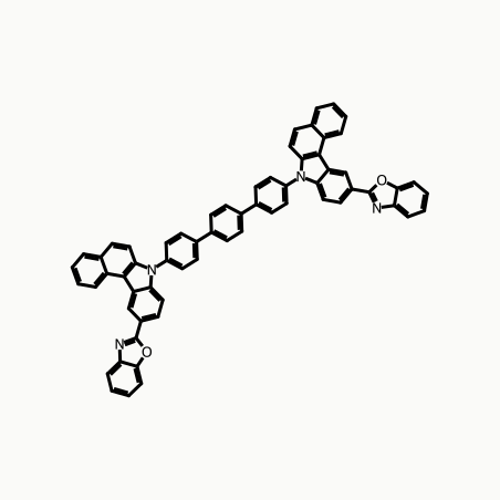 c1ccc2c(c1)ccc1c2c2cc(-c3nc4ccccc4o3)ccc2n1-c1ccc(-c2ccc(-c3ccc(-n4c5ccc(-c6nc7ccccc7o6)cc5c5c6ccccc6ccc54)cc3)cc2)cc1